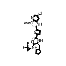 COc1ncc(Cl)cc1N[C@@H](C)c1ccc(C(=O)N[C@@H](CC2CCCC2)C(=O)N[C@@H]2CC2(F)F)s1